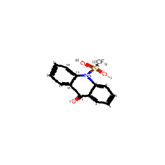 O=c1c2ccccc2n(S(=O)(=O)C(F)(F)F)c2ccccc12